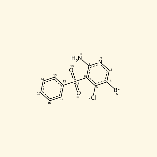 Nc1ncc(Br)c(Cl)c1S(=O)(=O)c1ccccc1